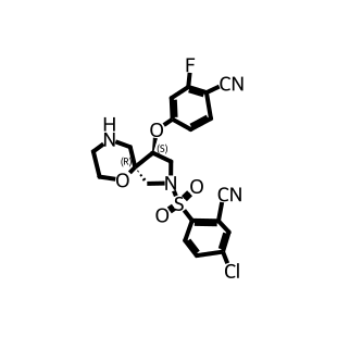 N#Cc1ccc(O[C@H]2CN(S(=O)(=O)c3ccc(Cl)cc3C#N)C[C@]23CNCCO3)cc1F